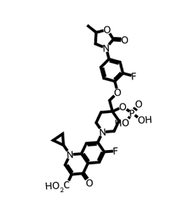 CC1CN(c2ccc(OCC3(OP(=O)(O)O)CCN(c4cc5c(cc4F)c(=O)c(C(=O)O)cn5C4CC4)CC3)c(F)c2)C(=O)O1